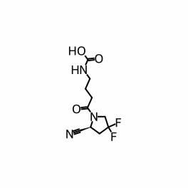 N#C[C@@H]1CC(F)(F)CN1C(=O)CCCNC(=O)O